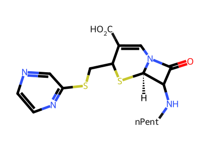 CCCCCNC1C(=O)N2C=C(C(=O)O)C(CSc3cnccn3)S[C@H]12